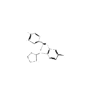 O=C(O)c1ccc2c(c1)nc(-c1ccc(F)cc1)n2C1CCCC1